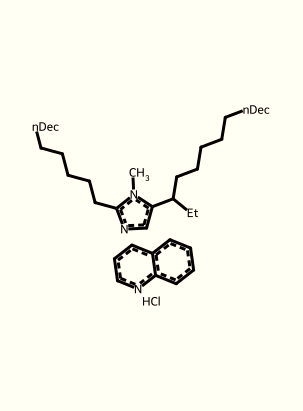 CCCCCCCCCCCCCCCc1ncc(C(CC)CCCCCCCCCCCCCCC)n1C.Cl.c1ccc2ncccc2c1